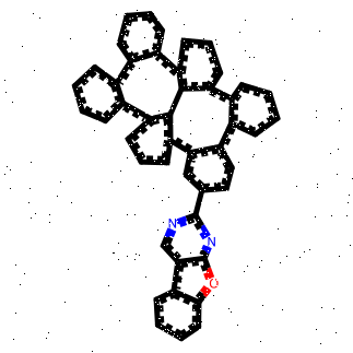 c1ccc2c(c1)oc1nc(-c3ccc4c(c3)c3cccc5c3-c3c(cccc3c3ccccc34)c3ccccc3c3ccccc53)ncc12